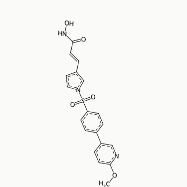 COc1ccc(-c2ccc(S(=O)(=O)n3ccc(/C=C/C(=O)NO)c3)cc2)cn1